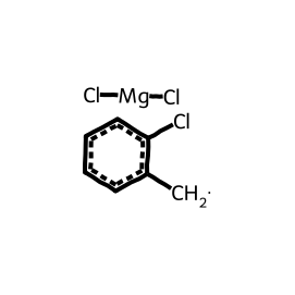 [CH2]c1ccccc1Cl.[Cl][Mg][Cl]